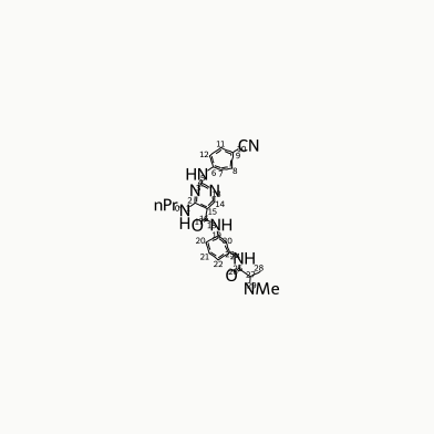 CCCNc1nc(Nc2ccc(C#N)cc2)ncc1C(=O)Nc1cccc(NC(=O)C(C)NC)c1